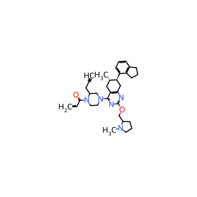 C#CCC1CN(c2nc(OCC3CCCN3C)nc3c2C[C@H](C)[C@@H](c2cccc4c2CCC4)C3)CCN1C(=O)C=C